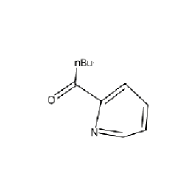 CCC[CH]C(=O)c1ccccn1